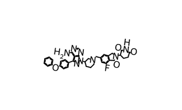 Nc1ncnc2c1c(-c1ccc(Oc3ccccc3)cc1)nn2C1CCCN(Cc2cc(F)c3c(c2)CN(C2CCC(=O)NC2=O)C3=O)C1